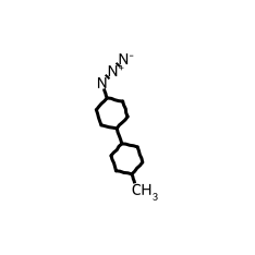 CC1CCC(C2CCC(N=[N+]=[N-])CC2)CC1